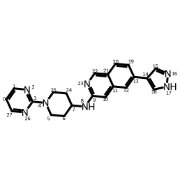 c1cnc(N2CCC(Nc3cc4cc(-c5cn[nH]c5)ccc4cn3)CC2)nc1